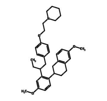 CC[C](Cc1ccc(OCCN2CCCCC2)cc1)c1cc(OC)ccc1C1CCc2cc(OC)ccc2C1